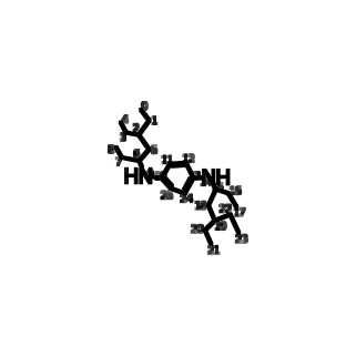 CCC(CC)CC(CC)Nc1ccc(NC(CC)CC(CC)CC)cc1